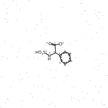 O=C(Cl)C(NS(=O)(=O)O)c1ccccc1